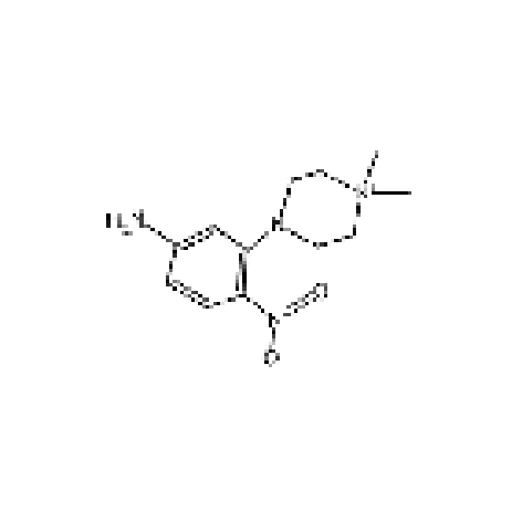 C[N+]1(C)CCN(c2cc(N)ccc2[N+](=O)[O-])CC1